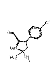 CC1(C)CC(c2ccc(Cl)cc2)C(C=O)N1